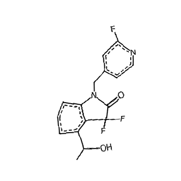 CC(O)c1cccc2c1C(F)(F)C(=O)N2Cc1ccnc(F)c1